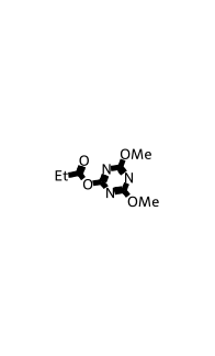 CCC(=O)Oc1nc(OC)nc(OC)n1